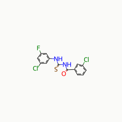 O=C(NC(=S)Nc1cc(F)cc(Cl)c1)c1cccc(Cl)c1